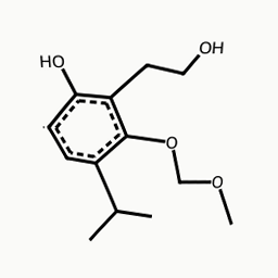 COCOc1c(C(C)C)c[c]c(O)c1CCO